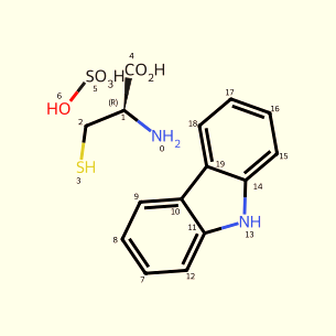 N[C@@H](CS)C(=O)O.O=S(=O)(O)O.c1ccc2c(c1)[nH]c1ccccc12